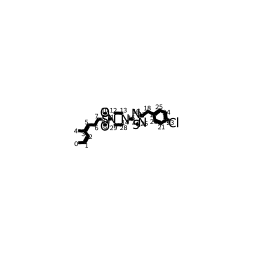 C/C=C\C(C)=C/CCS(=O)(=O)N1CCN(c2nc(Cc3ccc(Cl)cc3)ns2)CC1